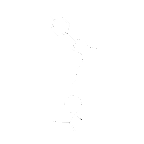 COC(=O)[C@]1(C)OC[C@H](CCCCc2nc(-c3ccc(F)cc3)oc2C)CO1